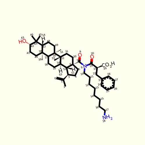 C=C(C)[C@@H]1CC[C@]2(C(=O)N(CCCCCCCCN)C(=O)[C@H](Cc3ccccc3)C(=O)O)CC[C@]3(C)[C@H](CCC4[C@@]5(C)CC[C@H](O)C(C)(C)[C@@H]5CC[C@]43C)[C@@H]12